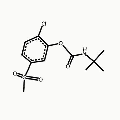 CC(C)(C)NC(=O)Oc1cc(S(C)(=O)=O)ccc1Cl